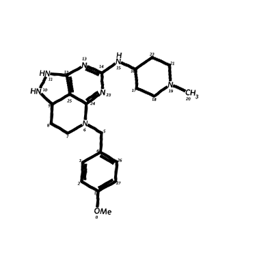 COc1ccc(CN2CCC3NNc4nc(NC5CCN(C)CC5)nc2c43)cc1